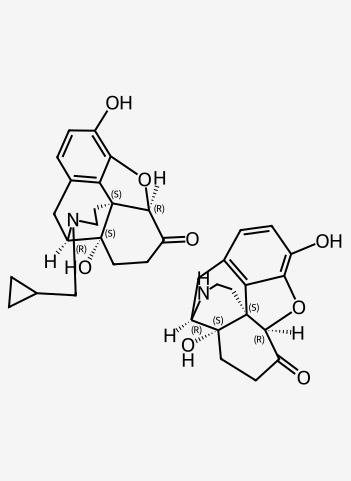 O=C1CC[C@@]2(O)[C@H]3Cc4ccc(O)c5c4[C@@]2(CCN3)[C@H]1O5.O=C1CC[C@@]2(O)[C@H]3Cc4ccc(O)c5c4[C@@]2(CCN3CC2CC2)[C@H]1O5